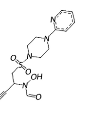 C#CC(CS(=O)(=O)N1CCN(c2ccccn2)CC1)N(O)C=O